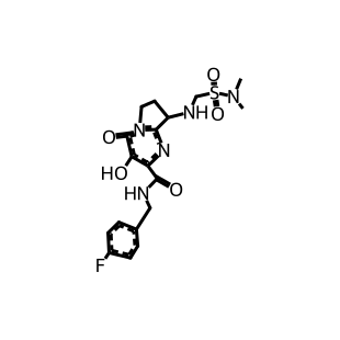 CN(C)S(=O)(=O)CNC1CCn2c1nc(C(=O)NCc1ccc(F)cc1)c(O)c2=O